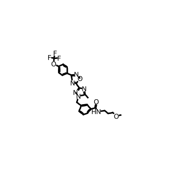 COCCCNC(=O)c1cccc(Cn2nc(-c3nc(-c4ccc(OC(F)(F)F)cc4)no3)nc2C)c1